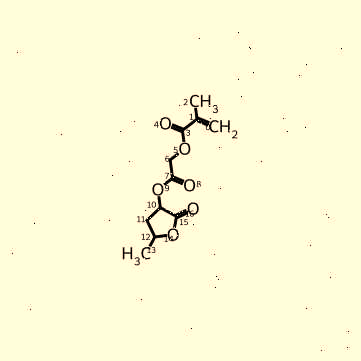 C=C(C)C(=O)OCC(=O)OC1CC(C)OC1=O